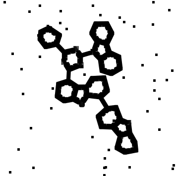 c1ccc(-c2nc(-c3cccc4oc5c(-c6ccc7c(c6)sc6ccccc67)cccc5c34)nc(-n3c4ccccc4c4ccccc43)n2)cc1